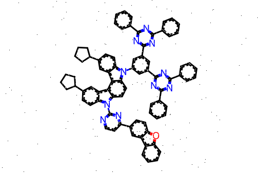 c1ccc(-c2nc(-c3ccccc3)nc(-c3cc(-c4nc(-c5ccccc5)nc(-c5ccccc5)n4)cc(-n4c5ccc(C6CCCC6)cc5c5c6c7cc(C8CCCC8)ccc7n(-c7nccc(-c8ccc9oc%10ccccc%10c9c8)n7)c6ccc54)c3)n2)cc1